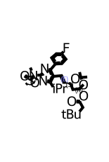 CC(C)c1nc(N(C)S(C)(=O)=O)nc(-c2ccc(F)cc2)c1/C=C/[C@@H]1C[C@@H](OC(=O)CC(C)(C)C)OC(C)(C)O1